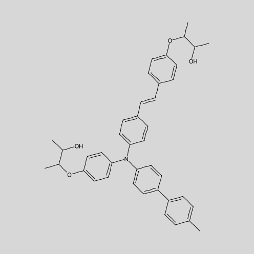 Cc1ccc(-c2ccc(N(c3ccc(C=Cc4ccc(OC(C)C(C)O)cc4)cc3)c3ccc(OC(C)C(C)O)cc3)cc2)cc1